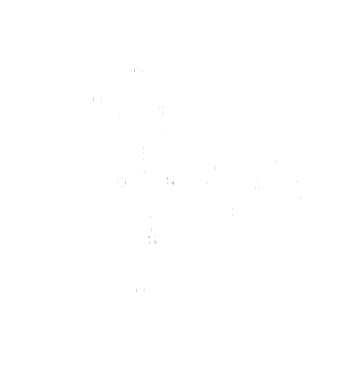 COc1ccc(C(=O)N(C/C(C)=C/c2ccc(C)cc2F)CC2CCC3COCCN32)cc1OC